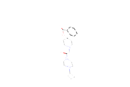 O=C1OC2(CCN(CC(=O)N3CCN(C4CCC4)CC3)CC2)c2ccccc21